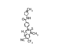 CN1CCC(NC(=O)c2ccc(N(C)C(=S)N(C)c3cnc(C#N)c(C(F)(F)F)c3)cc2)C1